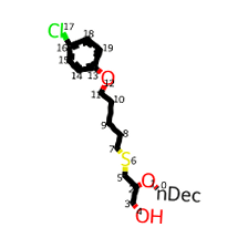 CCCCCCCCCCOC(CO)CSCCCCCOc1ccc(Cl)cc1